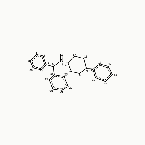 c1ccc(C(N[C@H]2CC[C@H](c3ccccc3)CC2)c2ccccc2)cc1